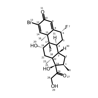 C[C@@H]1C[C@H]2[C@@H]3C[C@@H](F)C4=CC(=O)C(Br)=C[C@]4(C)[C@@]3(F)[C@@H](O)C[C@]2(C)[C@@]1(O)C(=O)CO